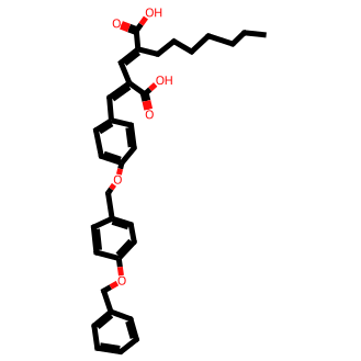 CCCCCCCC(=CC(=Cc1ccc(OCc2ccc(OCc3ccccc3)cc2)cc1)C(=O)O)C(=O)O